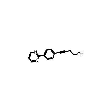 OCCC#Cc1ccc(-c2ncccn2)cc1